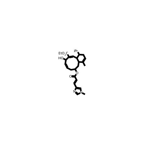 CCOC(=O)C1=CC2C(CC(OC(=O)C=Cc3cn(C)cn3)CC=CC1O)C(C)=CCC2C(C)C